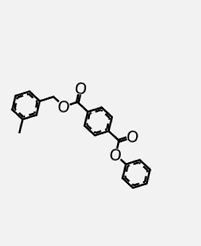 Cc1cccc(COC(=O)c2ccc(C(=O)Oc3ccccc3)cc2)c1